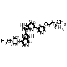 CN(C)CCOc1cncc(-c2ccc3[nH]nc(-c4nc5c(N6CCN(C)CC6)cncc5[nH]4)c3n2)c1